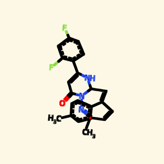 CC1=N/N2C(=O)C=C(c3ccc(F)cc3F)NC2/C=C(c2ccc(C)cc2)/C=C\1